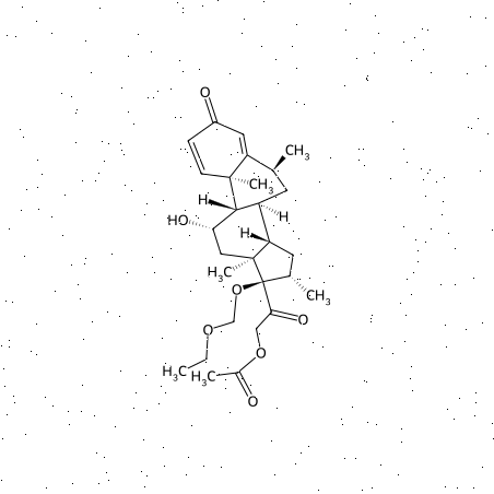 CCOCO[C@]1(C(=O)COC(C)=O)[C@@H](C)C[C@H]2[C@@H]3C[C@H](C)C4=CC(=O)C=C[C@]4(C)[C@H]3[C@@H](O)C[C@@]21C